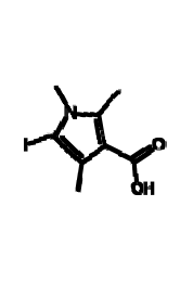 Cc1c(C(=O)O)c(C)n(C)c1I